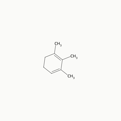 CC1=CCCC(C)=C1C